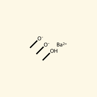 CO.C[O-].C[O-].[Ba+2]